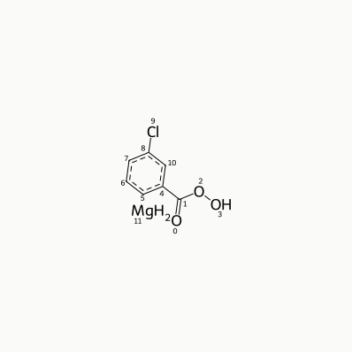 O=C(OO)c1cccc(Cl)c1.[MgH2]